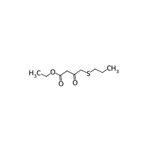 CCCSCC(=O)CC(=O)OCC